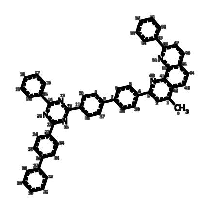 Cc1cc(-c2ccc(-c3ccc(-c4nc(-c5ccccc5)nc(-c5ccc(-c6ccccc6)cc5)n4)cc3)cc2)nc2c1ccc1ccc(-c3ccccc3)nc12